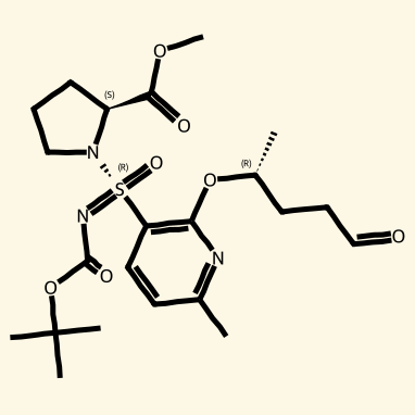 COC(=O)[C@@H]1CCCN1[S@@](=O)(=NC(=O)OC(C)(C)C)c1ccc(C)nc1O[C@H](C)CCC=O